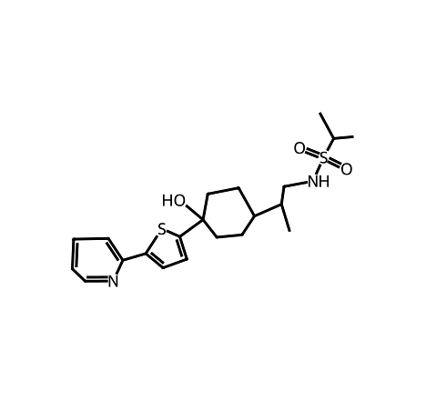 CC(CNS(=O)(=O)C(C)C)C1CCC(O)(c2ccc(-c3ccccn3)s2)CC1